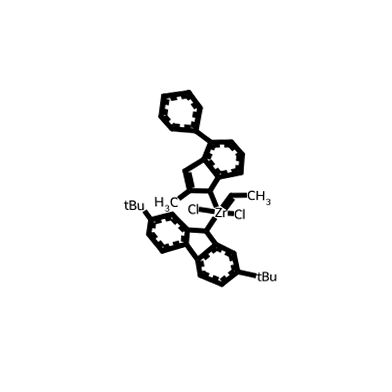 C[CH]=[Zr]([Cl])([Cl])([CH]1C(C)=Cc2c(-c3ccccc3)cccc21)[CH]1c2cc(C(C)(C)C)ccc2-c2ccc(C(C)(C)C)cc21